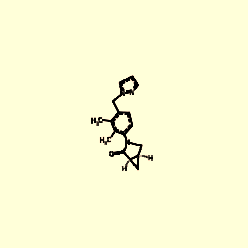 Cc1c(Cn2cccn2)ccc(N2C[C@H]3C[C@H]3C2=O)c1C